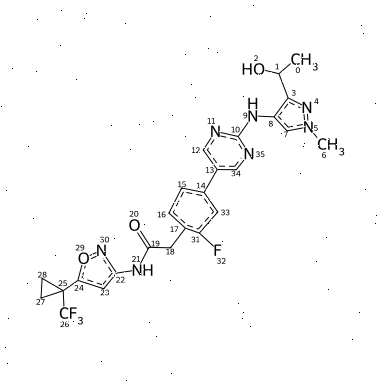 CC(O)c1nn(C)cc1Nc1ncc(-c2ccc(CC(=O)Nc3cc(C4(C(F)(F)F)CC4)on3)c(F)c2)cn1